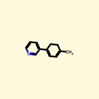 CC1=CC=C(c2cccnc2)CC1